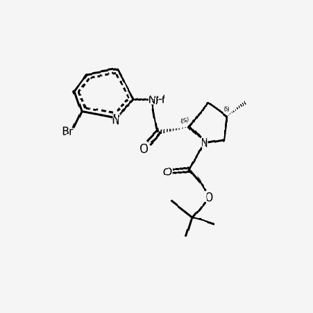 C[C@H]1C[C@@H](C(=O)Nc2cccc(Br)n2)N(C(=O)OC(C)(C)C)C1